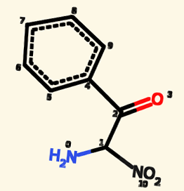 NC(C(=O)c1ccccc1)[N+](=O)[O-]